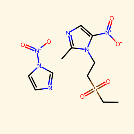 CCS(=O)(=O)CCn1c([N+](=O)[O-])cnc1C.O=[N+]([O-])n1ccnc1